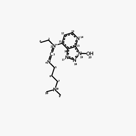 CC[N+](=C=NCCCN(C)C)c1ccnc2c1nnn2O